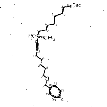 CCCCCCCCCCCCCCCCC[Si](C)(C)C#CCCCCCOCc1ccccc1